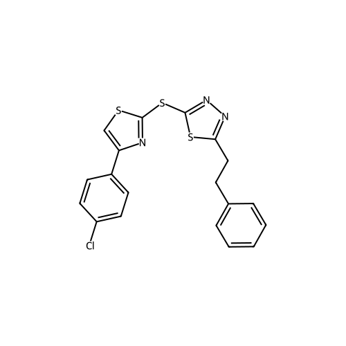 Clc1ccc(-c2csc(Sc3nnc(CCc4ccccc4)s3)n2)cc1